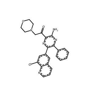 Nc1nc(-c2ccccc2)c(-c2cc(Cl)c3ncccc3c2)nc1C(=O)CN1CCOCC1